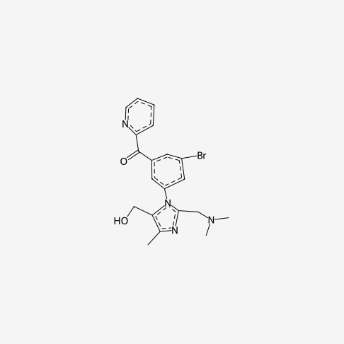 Cc1nc(CN(C)C)n(-c2cc(Br)cc(C(=O)c3ccccn3)c2)c1CO